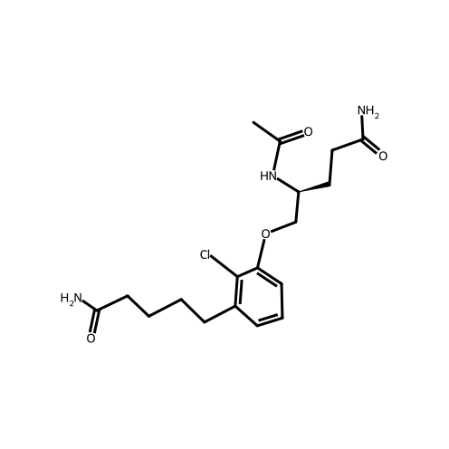 CC(=O)N[C@@H](CCC(N)=O)COc1cccc(CCCCC(N)=O)c1Cl